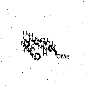 C=N/C(=N\c1c(C)c(Nc2cc(NC(=O)CN3CCCCC3)cnc2C)nn1C)Nc1cnn(CCOC)c1